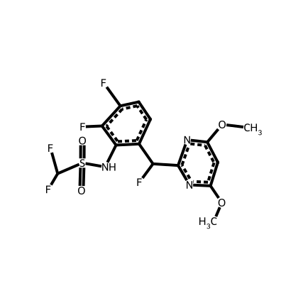 COc1cc(OC)nc(C(F)c2ccc(F)c(F)c2NS(=O)(=O)C(F)F)n1